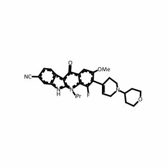 COc1cc2c(=O)c3c4ccc(C#N)cc4[nH]c3n(C(C)C)c2c(F)c1C1=CCN(C2CCOCC2)CC1